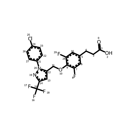 O=C(O)CCc1cc(F)c(OCc2cc(C(F)(F)F)nn2-c2ccc(Cl)cc2)c(F)c1